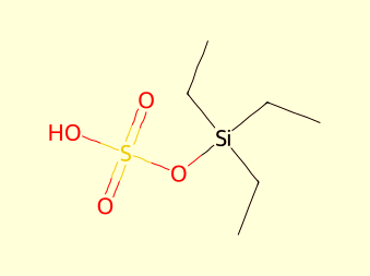 CC[Si](CC)(CC)OS(=O)(=O)O